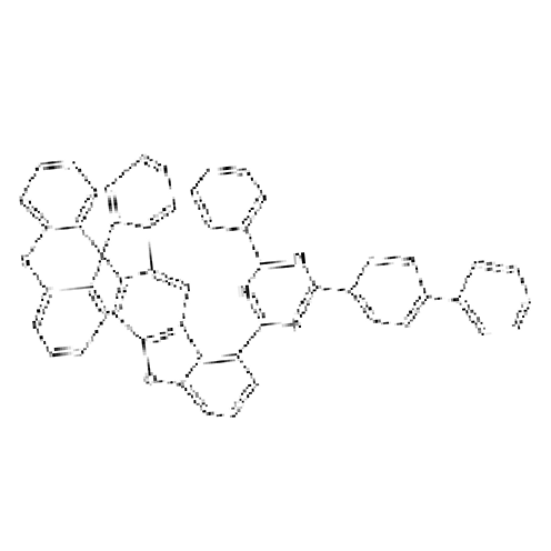 c1ccc(-c2ccc(-c3nc(-c4ccccc4)nc(-c4cccc5oc6cc7c(cc6c45)-c4ccccc4C74c5ccccc5Sc5ccccc54)n3)cc2)cc1